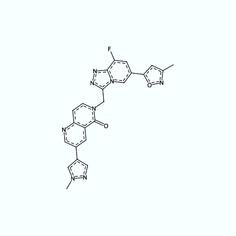 Cc1cc(-c2cc(F)c3nnc(Cn4ccc5ncc(-c6cnn(C)c6)cc5c4=O)n3c2)on1